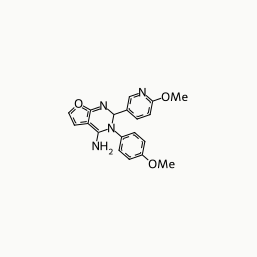 COc1ccc(N2C(N)=c3ccoc3=NC2c2ccc(OC)nc2)cc1